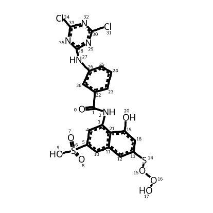 O=C(Nc1cc(S(=O)(=O)O)cc2cc(SOOO)cc(O)c12)c1cccc(Nc2nc(Cl)nc(Cl)n2)c1